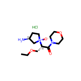 CCOC[C@@H](C(=O)N1CCOCC1)[N+]1([O-])CC[C@H](N)C1.Cl